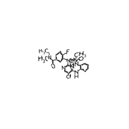 CCN(C)C(=O)c1ccc(F)c(Nc2ncc(Cl)c(Nc3ccccc3NS(C)(=O)=O)n2)c1